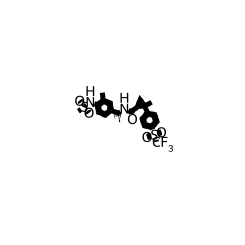 Cc1cc([C@@H](C)NC(=O)C2CC2(C)c2ccc(S(=O)(=O)C(F)(F)F)cc2)ccc1NS(C)(=O)=O